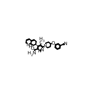 Cc1c(N2CCC(Oc3cccc(C#N)c3)CC2)nnc(C(N)=O)c1[C@@H]1CC=C2C=CC=N[C@@H]2C1